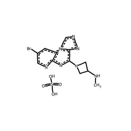 CNC1CN(c2nc3ncc(Br)cc3n3cnnc23)C1.O=S(=O)(O)O